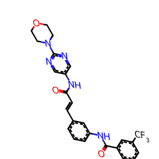 O=C(C=Cc1cccc(NC(=O)c2cccc(C(F)(F)F)c2)c1)Nc1cnc(N2CCOCC2)nc1